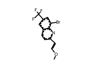 CO/C=C/c1ccc2cc(C(F)(F)F)cc(Br)c2n1